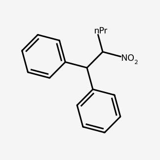 CCCC(C(c1ccccc1)c1ccccc1)[N+](=O)[O-]